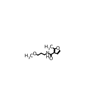 COCCCNC(=O)c1ccoc1C